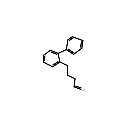 O=[C]CCCc1ccccc1-c1ccccc1